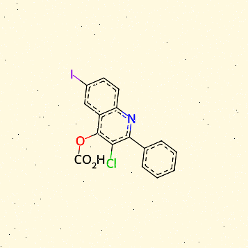 O=C(O)Oc1c(Cl)c(-c2ccccc2)nc2ccc(I)cc12